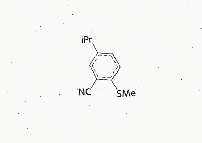 [CH2]C(C)c1ccc(SC)c(C#N)c1